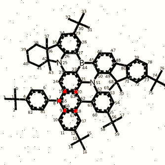 CC(C)(C)c1ccc(N(c2ccc(C(C)(C)C)cc2)c2cc3c4c(c2)N2c5c(cc(C(C)(C)C)cc5C5(C)CCCCC25C)B4c2ccc4c(c2N3c2ccc(C(C)(C)C)cc2-c2ccccc2)C(C)(C)c2cc(C(C)(C)C)ccc2-4)cc1